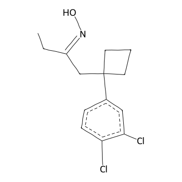 CCC(CC1(c2ccc(Cl)c(Cl)c2)CCC1)=NO